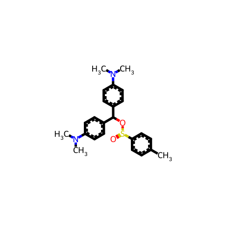 Cc1ccc(S(=O)OC(c2ccc(N(C)C)cc2)c2ccc(N(C)C)cc2)cc1